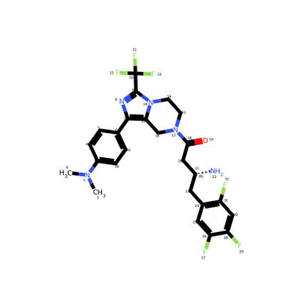 CN(C)c1ccc(-c2nc(C(F)(F)F)n3c2CN(C(=O)C[C@H](N)Cc2cc(F)c(F)cc2F)CC3)cc1